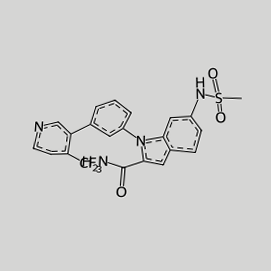 CS(=O)(=O)Nc1ccc2cc(C(N)=O)n(-c3cccc(-c4cnccc4C(F)(F)F)c3)c2c1